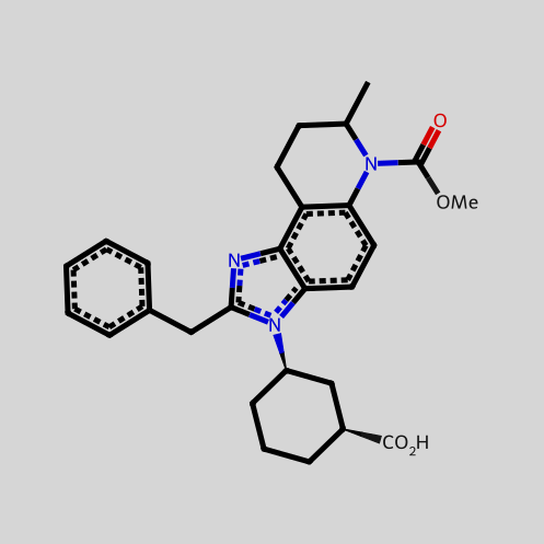 COC(=O)N1c2ccc3c(nc(Cc4ccccc4)n3[C@@H]3CCC[C@H](C(=O)O)C3)c2CCC1C